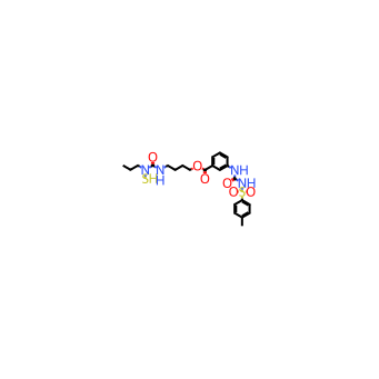 CCCN(S)C(=O)NCCCCOC(=O)c1cccc(NC(=O)NS(=O)(=O)c2ccc(C)cc2)c1